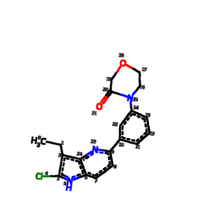 CCc1c(Cl)[nH]c2ccc(-c3cccc(N4CCOCC4=O)c3)nc12